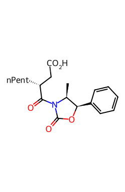 CCCCC[C@H](CC(=O)O)C(=O)N1C(=O)O[C@H](c2ccccc2)[C@@H]1C